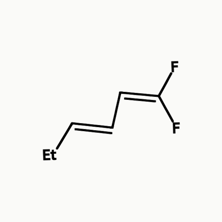 [CH2]CC=CC=C(F)F